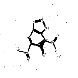 O=[N+]([O-])c1cc2nn[nH]c2c([N+](=O)[O-])c1Cl.[Ag+]